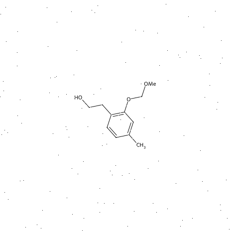 COCOc1cc(C)ccc1CCO